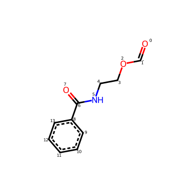 O=[C]OCCNC(=O)c1ccccc1